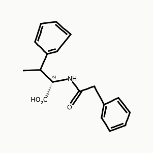 CC(c1ccccc1)[C@H](NC(=O)Cc1ccccc1)C(=O)O